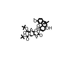 COc1ccc2c3c1O[C@H]1C(OC(=O)N(C)[C@@H](CNC(=O)OC(C)(C)C)C(=O)N(C)CC(=O)OC(C)(C)C)=CC[C@@]4(O)C(C2)N(C)CC[C@]314